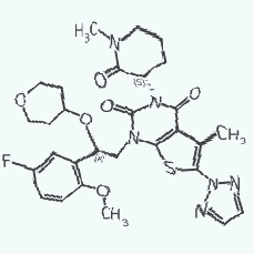 COc1ccc(F)cc1[C@H](Cn1c(=O)n([C@H]2CCCN(C)C2=O)c(=O)c2c(C)c(-n3nccn3)sc21)OC1CCOCC1